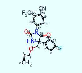 C=CCOCC1(c2ccc(F)cc2)NC(=O)N(c2ccc(C#N)c(C(F)(F)F)c2)C1=O